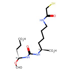 O=CO[C@H](CCC(=O)O)NC(=O)N[C@@H](CCCCNC(=O)CS)C(=O)O